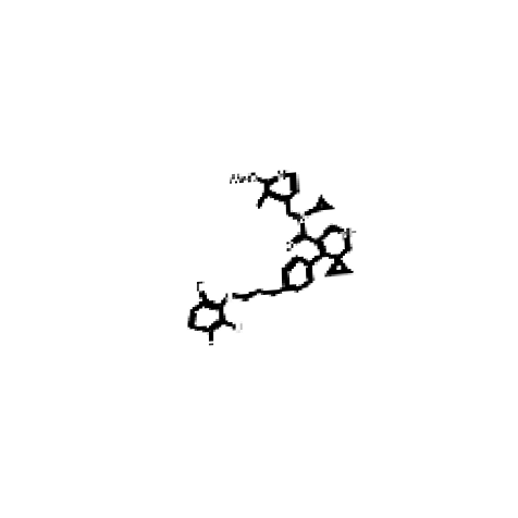 COc1nccc(CN(C(=O)C2=C(c3ccc(CCCOc4c(F)ccc(F)c4Cl)cc3)C3(CC3)CNC2)C2CC2)c1C